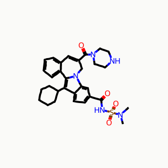 CN(C)S(=O)(=O)NC(=O)c1ccc2c(C3CCCCC3)c3n(c2c1)CC(C(=O)N1CCNCC1)=Cc1ccccc1-3